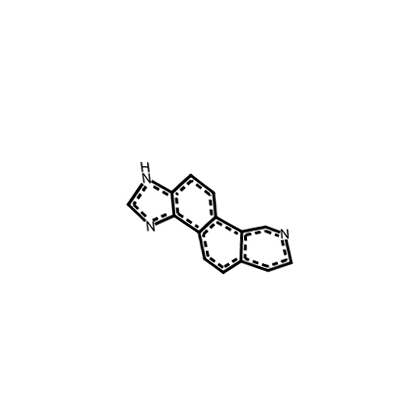 c1cc2ccc3c(ccc4[nH]cnc43)c2cn1